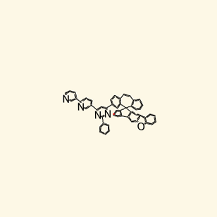 C1=Cc2ccc(-c3cc(-c4ccc(-c5cccnc5)nc4)nc(-c4ccccc4)n3)cc2C2(c3ccccc31)c1ccccc1-c1cc3oc4ccccc4c3cc12